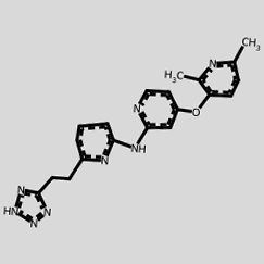 Cc1ccc(Oc2ccnc(Nc3cccc(CCc4nn[nH]n4)n3)c2)c(C)n1